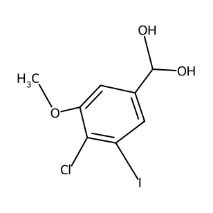 COc1cc(C(O)O)cc(I)c1Cl